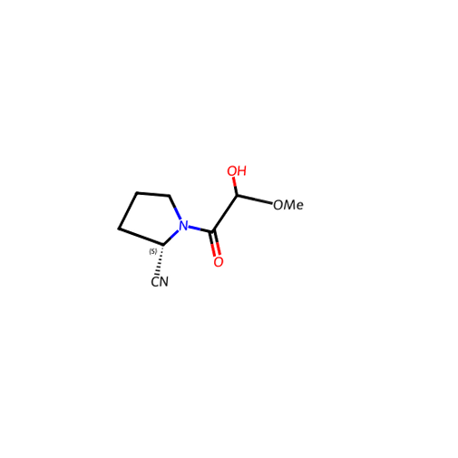 COC(O)C(=O)N1CCC[C@H]1C#N